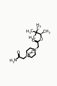 C[C@@H](OC(=O)C[N+]12CC[N+](CC(N)=O)(CC1)CC2)C(C)(C)C